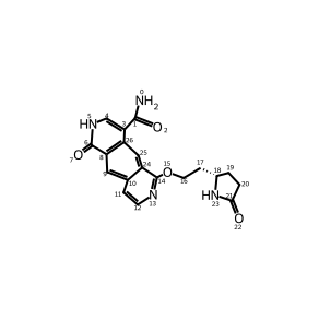 NC(=O)c1c[nH]c(=O)c2cc3ccnc(OCC[C@@H]4CCC(=O)N4)c3cc12